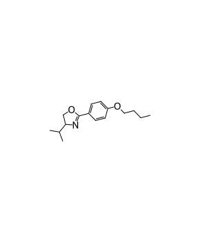 CCCCOc1ccc(C2=NC(C(C)C)CO2)cc1